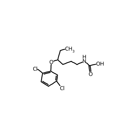 CCC(CCCNC(=O)O)Oc1cc(Cl)ccc1Cl